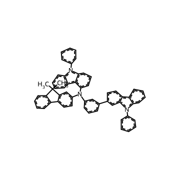 CC1(C)c2ccccc2-c2ccc(N(c3cccc(-c4ccc5c6ccccc6n(-c6ccccc6)c5c4)c3)c3cccc4c3c3ccccc3n4-c3ccccc3)cc21